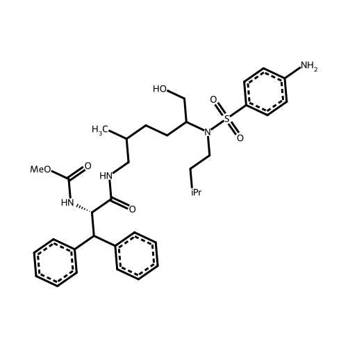 COC(=O)N[C@H](C(=O)NCC(C)CCC(CO)N(CCC(C)C)S(=O)(=O)c1ccc(N)cc1)C(c1ccccc1)c1ccccc1